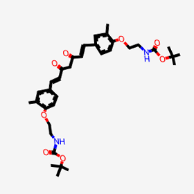 Cc1cc(C=CC(=O)CC(=O)C=Cc2ccc(OCCNC(=O)OC(C)(C)C)c(C)c2)ccc1OCCNC(=O)OC(C)(C)C